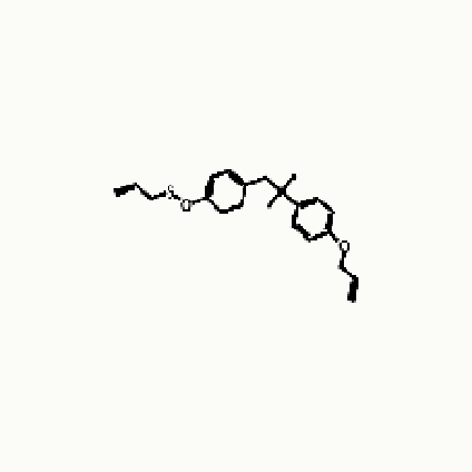 C=CCOc1ccc(C(C)(C)CC2=CC=C(OSCC=C)CC2)cc1